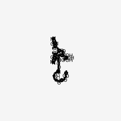 COc1cc2c(cc1OCc1cc(COc3cc4c(cc3OC)C(=O)N3Cc5ncn(C)c5C[C@H]3C=N4)cc(OS(=O)(=O)Oc3cc(C(=O)NCCOCCOCCOCCn4cc(COCC(C)(C)COCC(C)(C)CNC(=O)c5ccc(C(=O)CCS(=O)(=O)c6ccc(C)cc6)cc5)nn4)ccc3O[C@@H]3O[C@H](CO)[C@H](O)[C@H](O)[C@H]3O)c1)N=CC1Cc3c(ncn3C)CN1C2=O